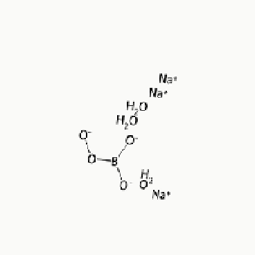 O.O.O.[Na+].[Na+].[Na+].[O-]OB([O-])[O-]